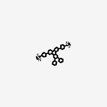 c1ccc(-c2cc3c4cc(-c5ccc(-c6nccs6)cc5)ccc4c4ccc(-c5ccc(-c6nccs6)cc5)cc4c3cc2-c2ccccc2)cc1